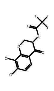 O=C1c2ccc(Cl)c(Cl)c2OCC1SC(=O)C(F)(F)F